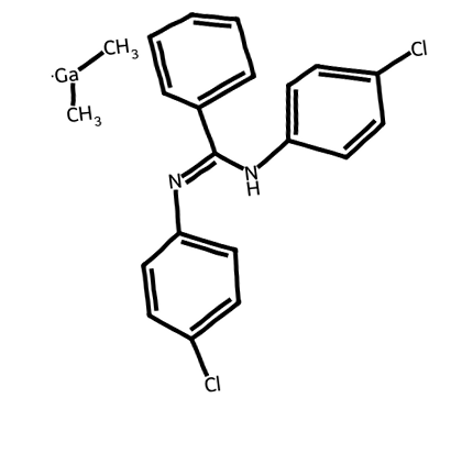 Clc1ccc(N=C(Nc2ccc(Cl)cc2)c2ccccc2)cc1.[CH3][Ga][CH3]